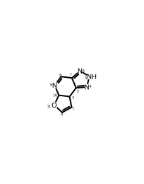 C1=CC2c3n[nH]nc3C=NC2O1